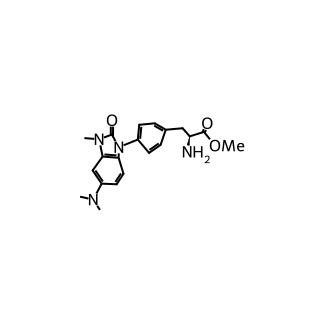 COC(=O)[C@@H](N)Cc1ccc(-n2c(=O)n(C)c3cc(N(C)C)ccc32)cc1